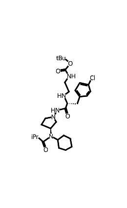 CC(C)C(=O)N(C1CCCCC1)[C@H]1CCN(NC(=O)[C@@H](Cc2ccc(Cl)cc2)NCCNC(=O)OC(C)(C)C)C1